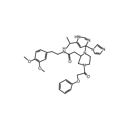 COc1ccc(CCNC(=O)CC2CN(C(=O)COc3ccccc3)CCN2C2(n3ccnc3)C=C(C(C)C)NC=N2)cc1OC